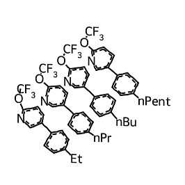 CCCCCc1ccc(-c2ccc(OC(F)(F)F)nc2)cc1.CCCCc1ccc(-c2ccc(OC(F)(F)F)nc2)cc1.CCCc1ccc(-c2ccc(OC(F)(F)F)nc2)cc1.CCc1ccc(-c2ccc(OC(F)(F)F)nc2)cc1